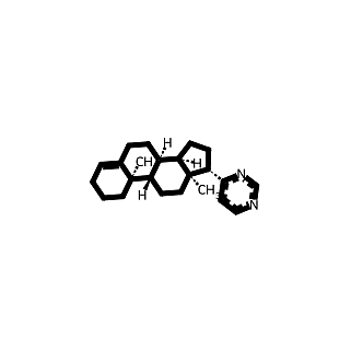 C[C@]12CC[C@H]3[C@@H](CCC4=CCCC[C@@]43C)[C@H]1CC[C@@H]2c1ccncn1